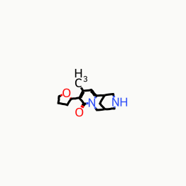 Cc1cc2n(c(=O)c1C1CCCO1)CC1CNCC2C1